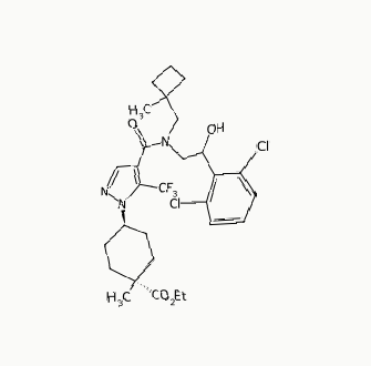 CCOC(=O)[C@]1(C)CC[C@@H](n2ncc(C(=O)N(CC(O)c3c(Cl)cccc3Cl)CC3(C)CCC3)c2C(F)(F)F)CC1